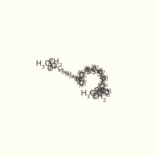 C=C(C)C(=O)OCCCCCCCCCCCn1c2ccccc2c2cc(-c3ccc(-c4ccc(-c5ccc(-c6ccc(-c7ccc8c(c7)c7ccccc7n8OC(=O)C(=C)C)s6)s5)s4)s3)ccc21